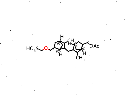 CC(=O)OCC1C[C@@H]2C[C@H]1C(C)C2CC1C(C)[C@H]2CC(COCS(=O)(=O)O)[C@@H]1C2